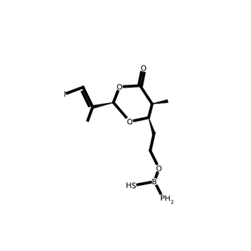 C/C(=C\I)[C@H]1OC(=O)[C@@H](C)[C@@H](CCOB(P)S)O1